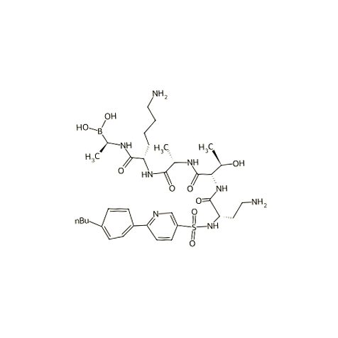 CCCCc1ccc(-c2ccc(S(=O)(=O)N[C@@H](CCN)C(=O)N[C@H](C(=O)N[C@@H](C)C(=O)N[C@@H](CCCCN)C(=O)N[C@@H](C)B(O)O)[C@@H](C)O)cn2)cc1